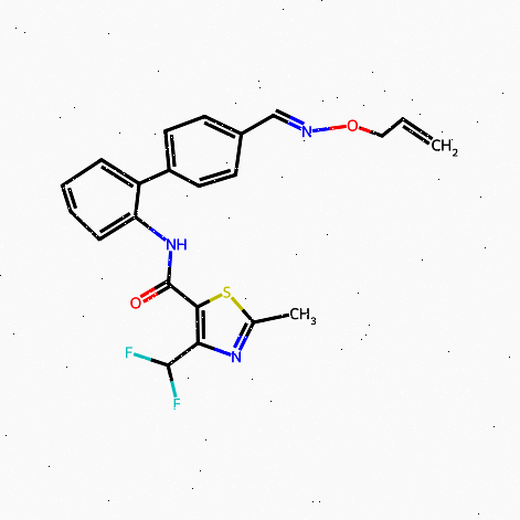 C=CCO/N=C/c1ccc(-c2ccccc2NC(=O)c2sc(C)nc2C(F)F)cc1